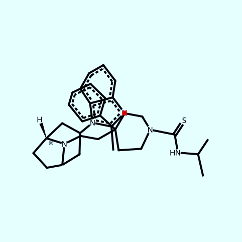 Cc1nc2ccccc2n1C1CC2CC[C@H](C1)N2CCC1(c2ccccc2)CCN(C(=S)NC(C)C)CC1